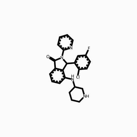 O=C1c2cccc(NC3CCCNC3)c2C(c2cc(F)ccc2Cl)N1c1ccccn1